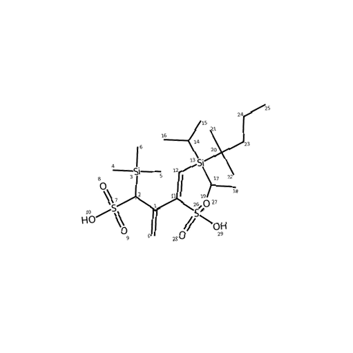 C=C([C]([Si](C)(C)C)S(=O)(=O)O)C(=C[Si](C(C)C)(C(C)C)C(C)(C)CCC)S(=O)(=O)O